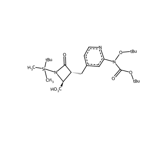 CC(C)(C)OC(=O)N(OC(C)(C)C)c1cc(C[C@H]2C(=O)N([Si](C)(C)C(C)(C)C)[C@@H]2C(=O)O)ccn1